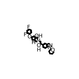 OC(CN1C[C@H]2C[C@H](Oc3ccc(F)cc3F)C[C@@]2(O)C1)c1ccc2c(cnn2C2CCCCO2)c1